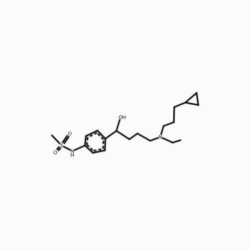 CCN(CCCC1CC1)CCCC(O)c1ccc(NS(C)(=O)=O)cc1